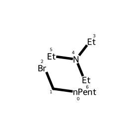 CCCCCCBr.CCN(CC)CC